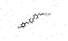 O=C(O)/C=C/C[C@H]1CC[C@H]([C@H]2CC[C@H](CCc3ccc(Br)cc3)CC2)CC1